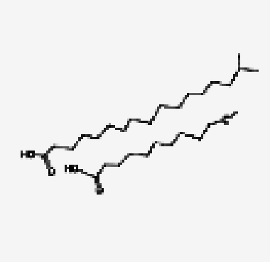 CC(C)CCCCCCCCCCCCCCC(=O)O.CCCCCCCCCCCC(=O)O